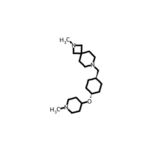 CN1CCC(O[C@H]2CC[C@H](CN3CCC4(CC3)CN(C)C4)CC2)CC1